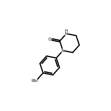 CC(C)(C)c1ccc(N2CCCNC2=O)cc1